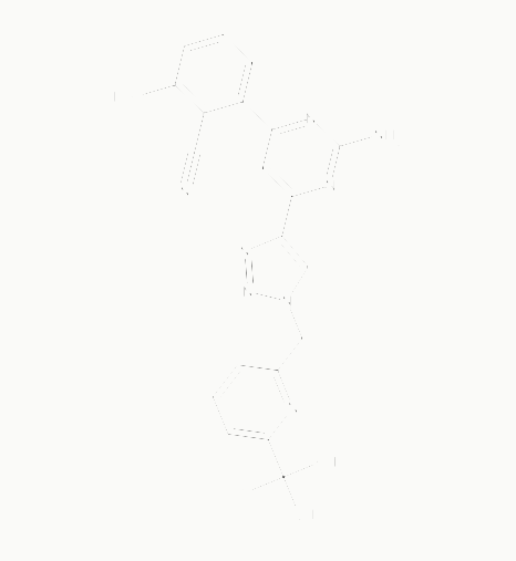 Cc1cccc(-c2cc(-c3cn(Cc4cccc(C(C)(C)C)n4)nn3)nc(N)n2)c1C#N